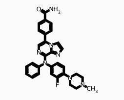 CN1CCN(c2ccc(N(c3ccccc3)c3ncc(-c4ccc(C(N)=O)cc4)n4ccnc34)cc2F)CC1